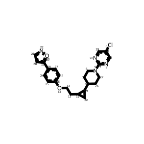 Clc1cnc(N2CCC(C3CC3CCOc3ccc(-c4ccno4)cc3)CC2)nc1